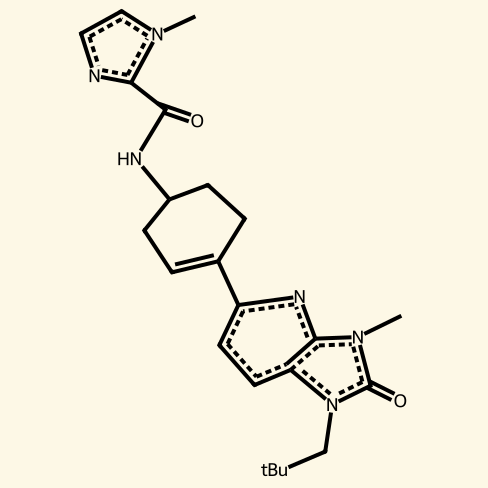 Cn1ccnc1C(=O)NC1CC=C(c2ccc3c(n2)n(C)c(=O)n3CC(C)(C)C)CC1